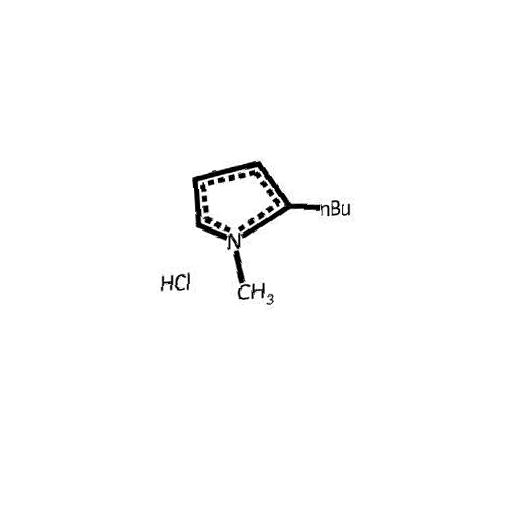 CCCCc1cccn1C.Cl